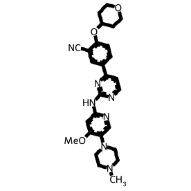 COc1cc(Nc2nccc(-c3ccc(OC4CCOCC4)c(C#N)c3)n2)ncc1N1CCN(C)CC1